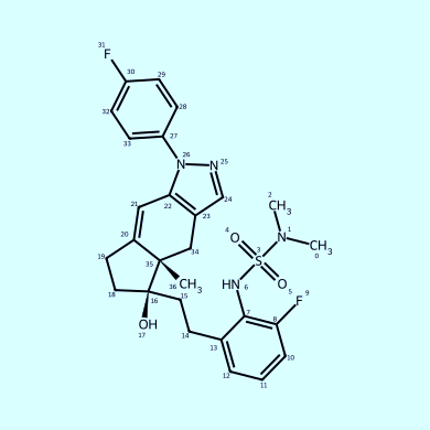 CN(C)S(=O)(=O)Nc1c(F)cccc1CC[C@]1(O)CCC2=Cc3c(cnn3-c3ccc(F)cc3)C[C@@]21C